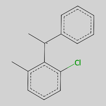 C[C](c1ccccc1)c1c(C)cccc1Cl